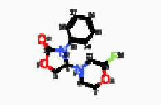 O=C1OCC(N2CCOC(F)C2)N1c1ccccc1